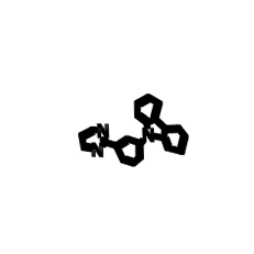 c1cnc(-c2cccc(-n3c4ccccc4c4ccccc43)c2)nc1